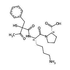 CC(=O)C(S)(Cc1ccccc1)C(=O)N[C@@H](CCCCN)C(=O)N1CCC[C@H]1C(=O)O